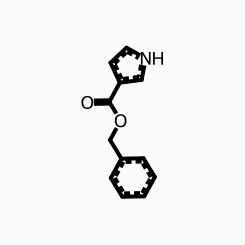 O=C(OCc1ccccc1)c1cc[nH]c1